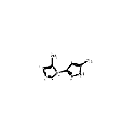 Cc1cc(-n2cnnc2C)n[nH]1